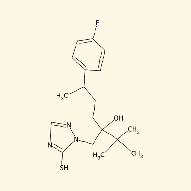 CC(CCC(O)(Cn1ncnc1S)C(C)(C)C)c1ccc(F)cc1